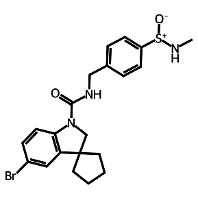 CN[S+]([O-])c1ccc(CNC(=O)N2CC3(CCCC3)c3cc(Br)ccc32)cc1